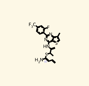 C=C/C=C(/N)SC(C)C(=C)Nc1nc(-c2ccc(C(F)(F)F)cc2F)nc2c(C)csc12